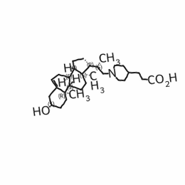 C[C@H](CN1CCC(CCC(=O)O)CC1)[C@H]1CC[C@H]2[C@@H]3CC=C4C[C@@H](O)CC[C@]4(C)[C@H]3CC[C@]12C